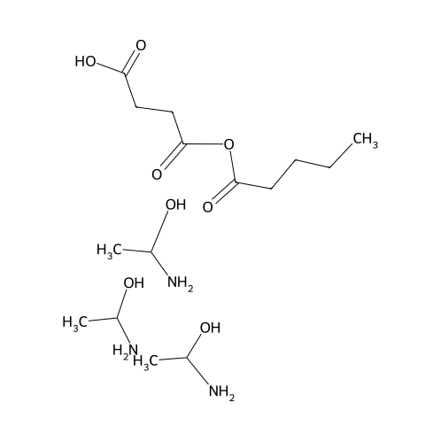 CC(N)O.CC(N)O.CC(N)O.CCCCC(=O)OC(=O)CCC(=O)O